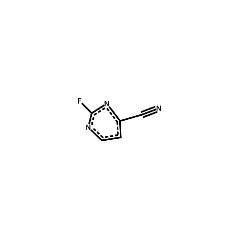 N#Cc1ccnc(F)n1